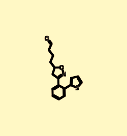 O=CCCCC1CC(c2ccccc2-c2cccs2)=NO1